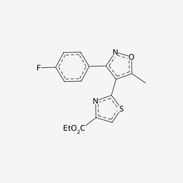 CCOC(=O)c1csc(-c2c(-c3ccc(F)cc3)noc2C)n1